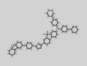 CC1(C)c2cc(-c3ccc(-c4ccc(-c5ccc6oc7ccccc7c6c5)cc4)s3)ccc2-c2ccc(N(c3ccc(C4=CCCC=C4)cc3)c3ccc(-c4ccccc4)cc3)cc21